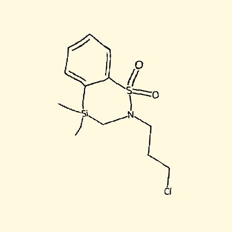 C[Si]1(C)CN(CCCCl)S(=O)(=O)c2ccccc21